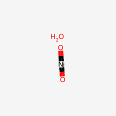 O.[O]=[Ni]=[O]